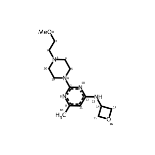 COCCN1CCN(c2nc(C)cc(NC3COC3)n2)CC1